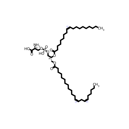 CCCCC/C=C\C/C=C\CCCCCCCCCCCC(=O)OC[C@H](COP(=O)(O)OC[C@H](N)C(=O)O)OC(=O)CCCCCCC/C=C\CCCCCCCCC